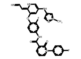 Cn1cc(NC2=CN/C(=C\C=N)C(Oc3ccc(NC(=O)c4cccn(-c5ccc(F)cc5)c4=O)cc3F)=C2)cn1